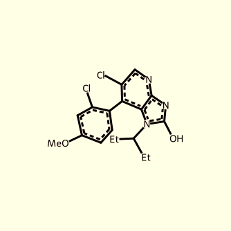 CCC(CC)n1c(O)nc2ncc(Cl)c(-c3ccc(OC)cc3Cl)c21